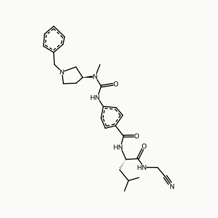 CC(C)C[C@H](NC(=O)c1ccc(NC(=O)N(C)[C@H]2CCN(Cc3ccccc3)C2)cc1)C(=O)NCC#N